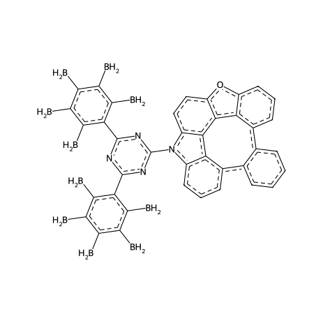 Bc1c(B)c(B)c(-c2nc(-c3c(B)c(B)c(B)c(B)c3B)nc(-n3c4cccc5c6ccccc6c6cccc7oc8ccc3c(c8c76)c54)n2)c(B)c1B